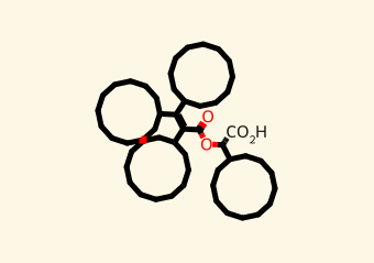 O=C(OC(C(=O)O)C1CCCCCCCCCCC1)C(=C(C1CCCCCCCCCCC1)C1CCCCCCCCCCC1)C1CCCCCCCCCCC1